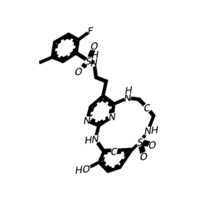 Cc1ccc(F)c(S(=O)(=O)NCCc2cnc3nc2NCCCNS(=O)(=O)c2ccc(O)c(c2)N3)c1